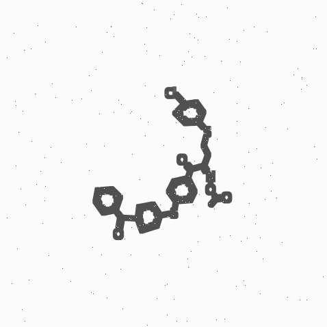 CC(=O)O/N=C(/CCSc1ccc(Cl)cc1)C(=O)c1ccc(Sc2ccc(C(=O)c3ccccc3)cc2)cc1